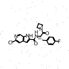 O=C(N[C@@H](Cc1ccc(F)cc1)C(=O)N1CCC1)c1cc2cc(Cl)ncc2[nH]1